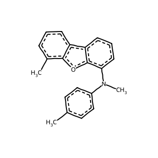 Cc1ccc(N(C)c2cccc3c2oc2c(C)cccc23)cc1